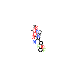 CCCOC(=O)c1c(C#N)c(-c2ccc(Oc3c(F)cccc3F)cc2)cn1[C@@H]1CCCN(C(=O)OC(C)(C)C)C1